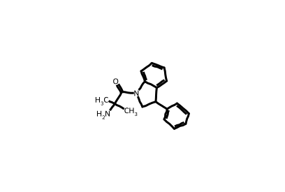 CC(C)(N)C(=O)N1CC(c2ccccc2)c2ccccc21